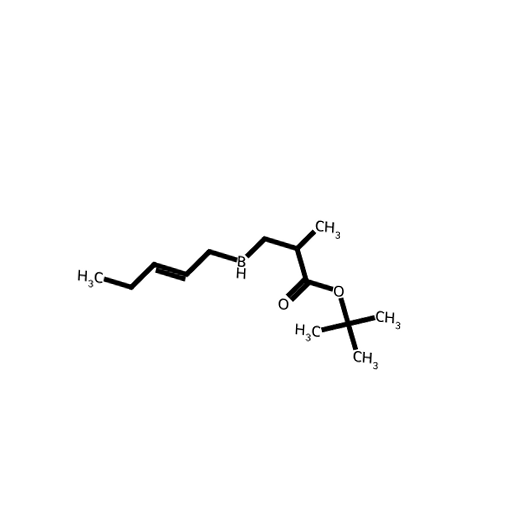 CC/C=C/CBCC(C)C(=O)OC(C)(C)C